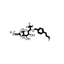 CNC1=N[C@@H]2[C@@H](O)[C@H](O)[C@@H]([C@@H](OCc3ccc(CCCF)cc3)C(F)(F)F)O[C@@H]2S1